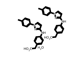 Cc1ccc(-n2ccc(Nc3ccc(CC(=O)O)cc3)n2)cc1.Cc1ccc(-n2ccc(Nc3ccc(CC(=O)O)cc3)n2)cc1.O